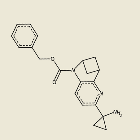 NC1(c2ccc3c(n2)C2CC(C2)N3C(=O)OCc2ccccc2)CC1